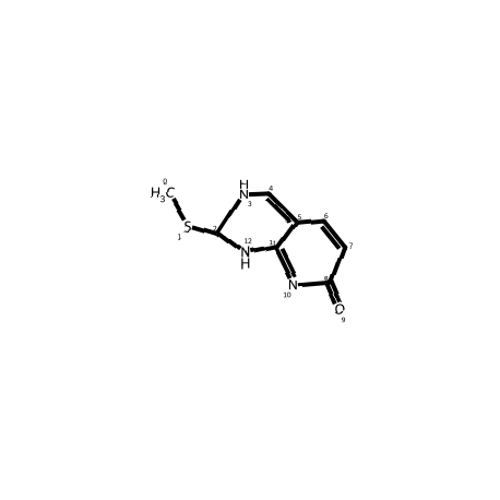 CS[C]1NC=C2C=CC(=O)N=C2N1